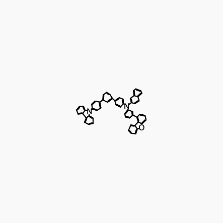 c1cc(-c2ccc(N(c3cccc(-c4cccc5oc6ccccc6c45)c3)c3ccc4ccccc4c3)cc2)cc(-c2ccc(-n3c4ccccc4c4ccccc43)cc2)c1